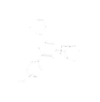 C[C@@H]1COCCN1c1nc(-c2ccc(N)cc2)nc(N2C3CCC2COC3)n1